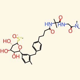 Cc1ccc([C@@H]2O[C@H]([S+](C)[O-])[C@@H](O)[C@H](O)[C@@H]2O)cc1Cc1ccc(CCCC(=O)NC(C)(C)C(=O)NCC(=O)N(C)C)cc1